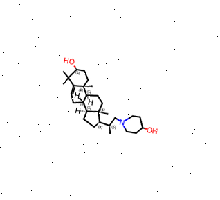 C[C@H](CN1CCC(O)CC1)[C@H]1CC[C@H]2[C@@H]3CC=C4C(C)(C)[C@@H](O)CC[C@]4(C)[C@H]3CC[C@]12C